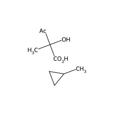 CC(=O)C(C)(O)C(=O)O.CC1CC1